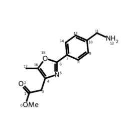 COC(=O)Cc1nc(-c2ccc(CN)cc2)oc1C